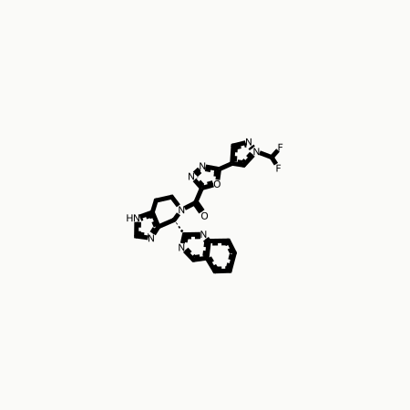 O=C(c1nnc(-c2cnn(C(F)F)c2)o1)N1CCc2[nH]cnc2[C@H]1c1ncc2ccccc2n1